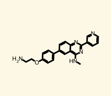 CNc1nc(-c2cccnc2)nc2ccc(-c3ccc(OCCN)cc3)cc12